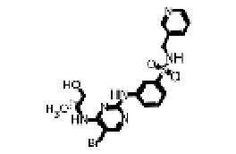 C[C@H](CO)Nc1nc(Nc2cccc(S(=O)(=O)NCc3cccnc3)c2)ncc1Br